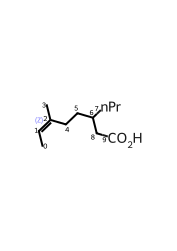 C/C=C(/C)CCC(CCC)CC(=O)O